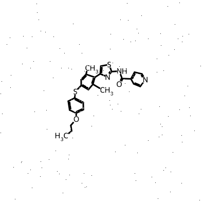 CCCOc1ccc(Sc2cc(C)c(-c3csc(NC(=O)c4ccncc4)n3)c(C)c2)cc1